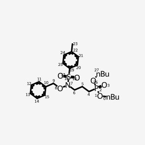 CCCCOP(=O)(CCCN(OCc1ccccc1)S(=O)(=O)c1ccc(C)cc1)OCCCC